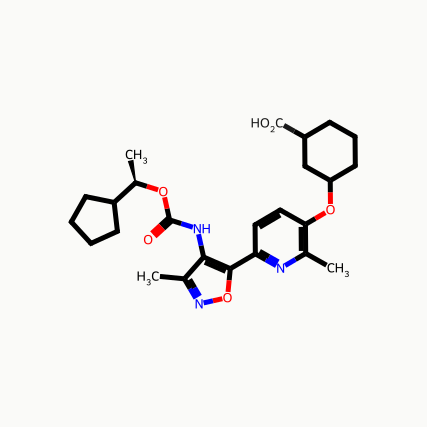 Cc1nc(-c2onc(C)c2NC(=O)O[C@H](C)C2CCCC2)ccc1OC1CCCC(C(=O)O)C1